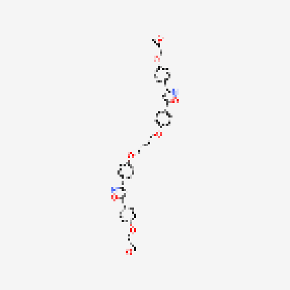 c1cc(-c2cc(-c3ccc(OCC4CO4)cc3)on2)ccc1OCCCCOc1ccc(-c2cc(-c3ccc(OCC4CO4)cc3)no2)cc1